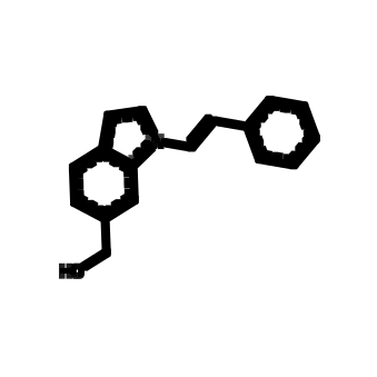 OCc1ccc2ccn(C=Cc3ccccc3)c2c1